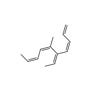 C=C\C=C/C(=C/C)C(/C)=C\C=C/C